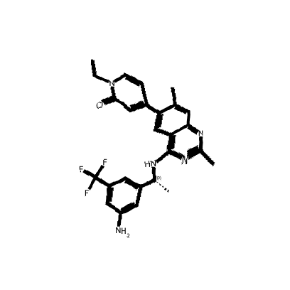 CCn1ccc(-c2cc3c(N[C@H](C)c4cc(N)cc(C(F)(F)F)c4)nc(C)nc3cc2C)cc1=O